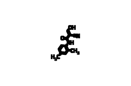 Cc1ccc(NC(=O)/C(C#N)=C/O)c(C)c1